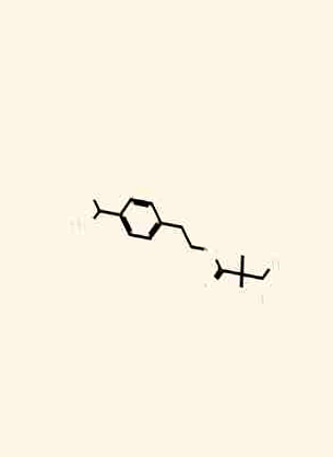 CCC(O)c1ccc(CCOC(=O)C(C)(CC(C)(C)C)C(C)(C)C)cc1